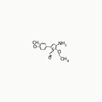 CCOC1=C(N)C=C(c2ccc(OC)cc2)S1=C=O